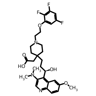 COc1ccc2ncc(N(C)C)c([C@H](O)CCC3(CC(=O)O)CCN(CCOc4cc(F)cc(F)c4F)CC3)c2c1